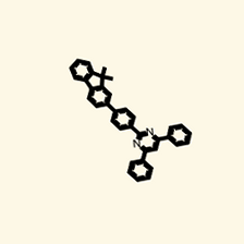 CC1(C)c2ccccc2-c2ccc(-c3ccc(-c4nc(-c5ccccc5)cc(-c5ccccc5)n4)cc3)cc21